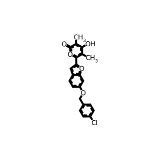 Cc1c(-c2cc3ccc(OCc4ccc(Cl)cc4)cc3o2)oc(=O)c(C)c1O